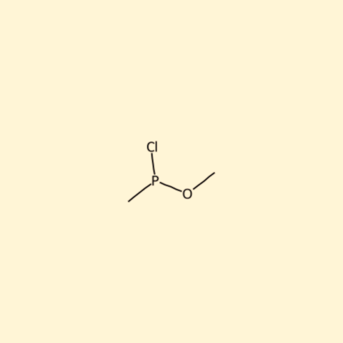 COP(C)Cl